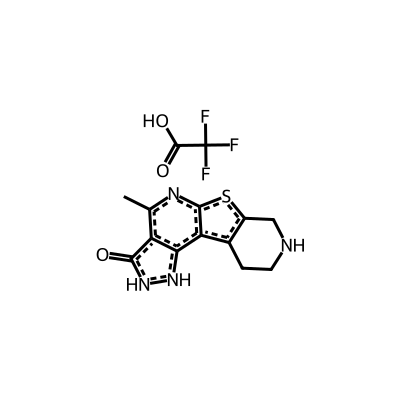 Cc1nc2sc3c(c2c2[nH][nH]c(=O)c12)CCNC3.O=C(O)C(F)(F)F